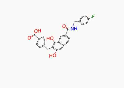 O=C(O)c1ccc(Cc2c(O)cc3ccc(C(=O)NCc4ccc(F)cc4)cc3c2O)cc1